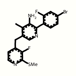 CSc1nccc(Cc2cnc(-c3ccc(Br)cc3F)c(N)c2C)c1F